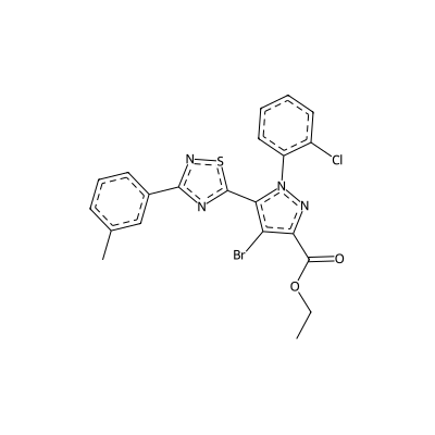 CCOC(=O)c1nn(-c2ccccc2Cl)c(-c2nc(-c3cccc(C)c3)ns2)c1Br